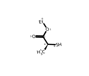 CCOC(=O)[C@H](C)S